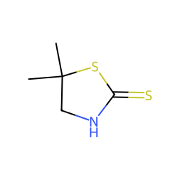 CC1(C)CNC(=S)S1